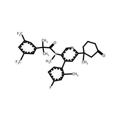 Cc1cc(F)ccc1-c1cc(C2(C)CCCC(=O)C2)ncc1N(C)C(=O)C(C)(C)c1cc(C(F)(F)F)cc(C(F)(F)F)c1